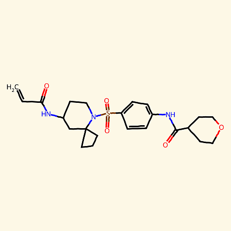 C=CC(=O)NC1CCN(S(=O)(=O)c2ccc(NC(=O)C3CCOCC3)cc2)C2(CCC2)C1